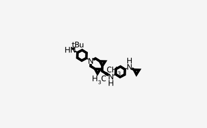 CC(C)(C)N[C@H]1CC[C@H](N(CC2CC2)CC2CC2CC(C)(C)N[C@H]2CC[C@@H](NC3CC3)CC2)CC1